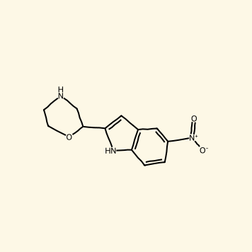 O=[N+]([O-])c1ccc2[nH]c(C3CNCCO3)cc2c1